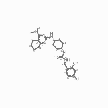 CN(C)c1nc(N[C@H]2CC[C@@H](NC(=S)NCc3ccc(Cl)cc3Cl)CC2)nc2c1CCCC2